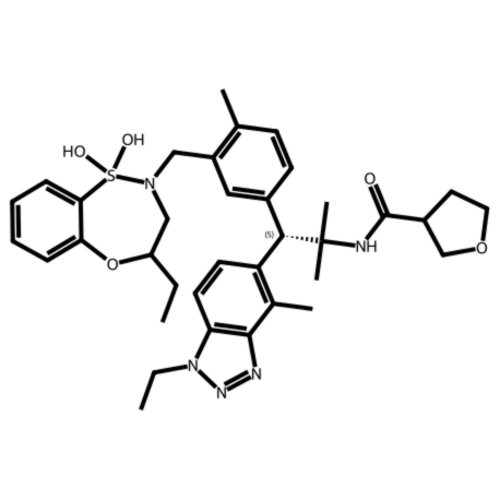 CCC1CN(Cc2cc([C@@H](c3ccc4c(nnn4CC)c3C)C(C)(C)NC(=O)C3CCOC3)ccc2C)S(O)(O)c2ccccc2O1